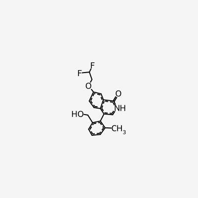 Cc1cccc(CO)c1-c1c[nH]c(=O)c2cc(OCC(F)F)ccc12